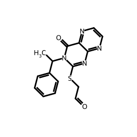 CC(c1ccccc1)n1c(SCC=O)nc2nccnc2c1=O